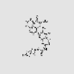 Cc1c(-c2cc3cc(NC(=O)OC4CC5(CNC5)C4)ncc3c(C)c2F)cnc2c1N(C(=O)OC(C)(C)C)CCC2